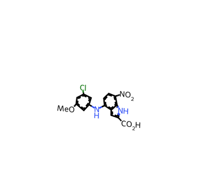 COc1cc(Cl)cc(Nc2ccc([N+](=O)[O-])c3[nH]c(C(=O)O)cc23)c1